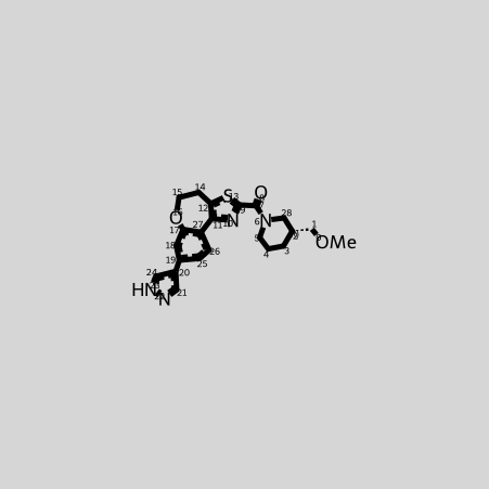 COC[C@@H]1CCCN(C(=O)c2nc3c(s2)CCOc2cc(-c4cn[nH]c4)ccc2-3)C1